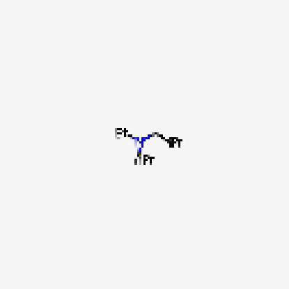 [CH2]CN(CCC)CC(C)C